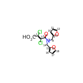 O=C(O)C(Cl)=C(Cl)C(=O)N(Cc1ccco1)Cc1ccco1